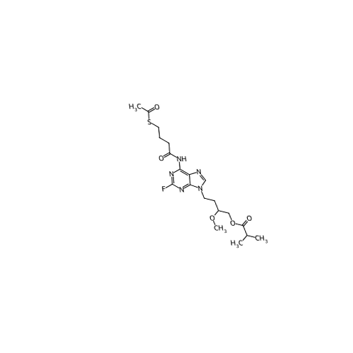 COC(CCn1cnc2c(NC(=O)CCCSC(C)=O)nc(F)nc21)COC(=O)C(C)C